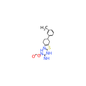 Cc1cccc(C2CCc3nc(NC(=N)NOC=O)sc3C2)c1